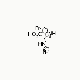 CC(C)c1ccc2[nH]nc(CCNC3CN4CCC3CC4)c2c1C(=O)O